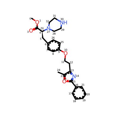 COC(=O)[C@H](Cc1ccc(OCCc2nc(-c3ccccc3)oc2C)cc1)N1CCNCC1